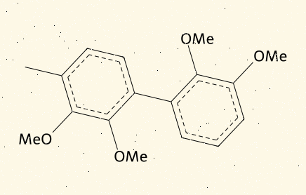 COc1cccc(-c2ccc(C)c(OC)c2OC)c1OC